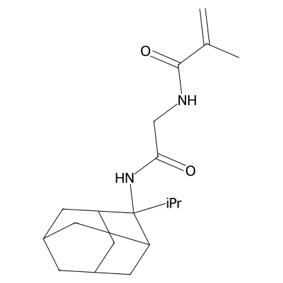 C=C(C)C(=O)NCC(=O)NC1(C(C)C)C2CC3CC(C2)CC1C3